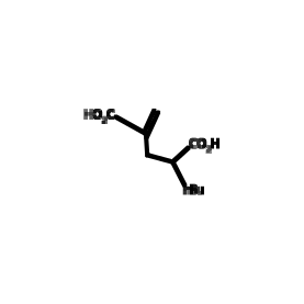 C=C(CC(CCCC)C(=O)O)C(=O)O